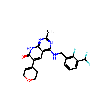 Cc1nc(NCc2cccc(C(F)F)c2F)c2cc(C3=CCOCC3)c(=O)[nH]c2n1